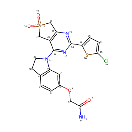 NC(=O)COc1ccc2c(c1)N(c1nc(-c3ccc(Cl)s3)nc3c1CS(=O)(=O)C3)CC2